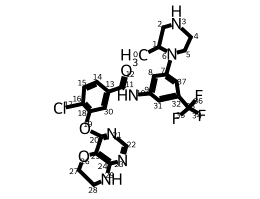 CC1CNCCN1c1cc(NC(=O)c2ccc(Cl)c(Oc3ncnc4c3OCCN4)c2)cc(C(F)(F)F)c1